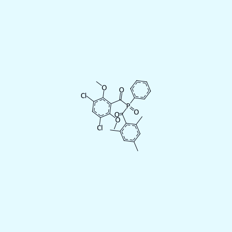 COc1c(Cl)cc(Cl)c(OC)c1C(=O)P(=O)(C(=O)c1c(C)cc(C)cc1C)c1ccccc1